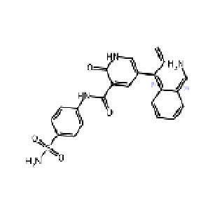 C=C/C(c1c[nH]c(=O)c(C(=O)Nc2ccc(S(N)(=O)=O)cc2)c1)=c1/cccc/c1=C/N